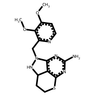 COc1ccnc(CN2NC3CCSc4nc(N)nc2c43)c1OC